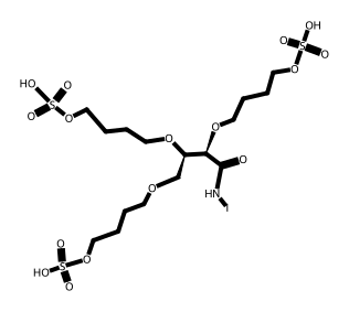 O=C(NI)[C@H](OCCCCOS(=O)(=O)O)[C@@H](COCCCCOS(=O)(=O)O)OCCCCOS(=O)(=O)O